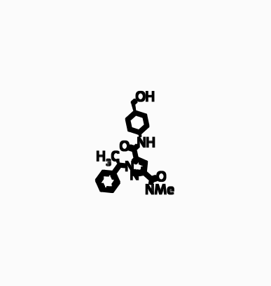 CNC(=O)c1cc(C(=O)N[C@H]2CC[C@H](CO)CC2)n([C@@H](C)c2ccccc2)n1